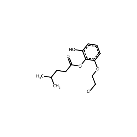 CC(C)CCC(=O)Oc1c(O)cccc1OCCCl